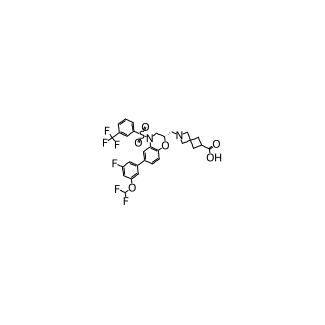 O=C(O)C1CC2(C1)CN(C[C@H]1CN(S(=O)(=O)c3cccc(C(F)(F)F)c3)c3cc(-c4cc(F)cc(OC(F)F)c4)ccc3O1)C2